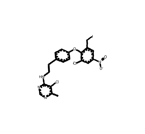 Cc1ncnc(NCCc2ccc(Oc3c(Cl)cc([N+](=O)[O-])cc3CI)cc2)c1Cl